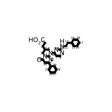 O=C(O)CCC1CN(c2ccnc(NCCc3ccccc3)n2)c2nc(-c3ccccc3)cc(=O)n2C1